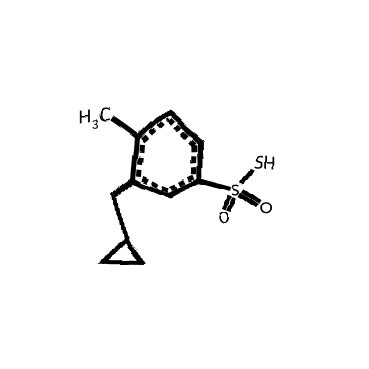 Cc1ccc(S(=O)(=O)S)cc1CC1CC1